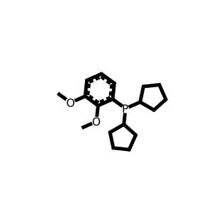 COc1cccc(P(C2CCCC2)C2CCCC2)c1OC